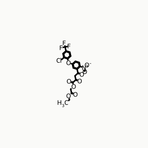 CCOC(=O)COC(=O)C(=O)CC(=O)c1cc(Oc2ccc(C(F)(F)F)cc2Cl)ccc1[N+](=O)[O-]